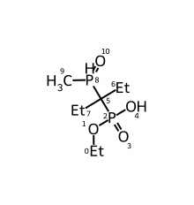 CCOP(=O)(O)C(CC)(CC)[PH](C)=O